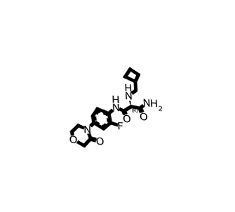 NC(=O)[C@@H](NCC1CCC1)C(=O)Nc1ccc(N2CCOCC2=O)cc1F